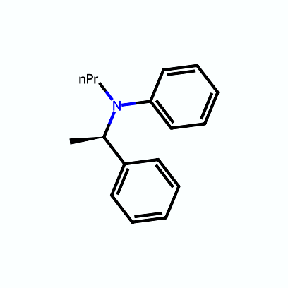 CCCN(c1ccccc1)[C@H](C)c1ccccc1